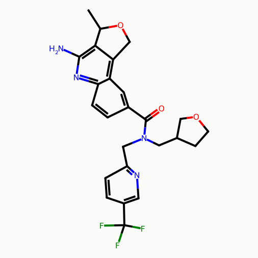 CC1OCc2c1c(N)nc1ccc(C(=O)N(Cc3ccc(C(F)(F)F)cn3)CC3CCOC3)cc21